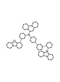 c1cc(-c2ccc(N(c3cccc(-c4cccc5c4oc4ccccc45)c3)c3cc4ccccc4c4ccccc34)cc2)cc(-c2ccccc2-n2c3ccccc3c3ccccc32)c1